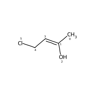 CC(O)=CCCl